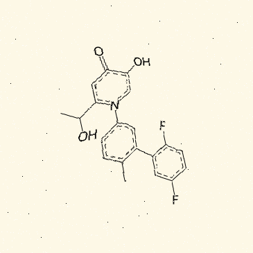 Cc1ccc(-n2cc(O)c(=O)cc2C(C)O)cc1-c1cc(F)ccc1F